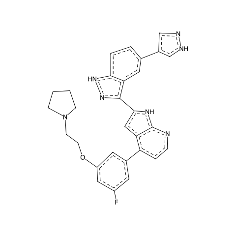 Fc1cc(OCCN2CCCC2)cc(-c2ccnc3[nH]c(-c4n[nH]c5ccc(-c6cn[nH]c6)cc45)cc23)c1